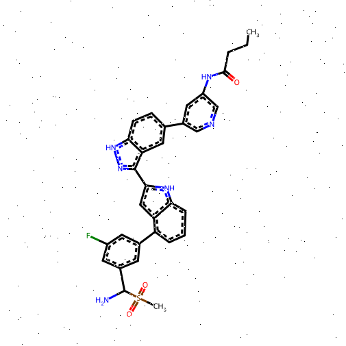 CCCC(=O)Nc1cncc(-c2ccc3[nH]nc(-c4cc5c(-c6cc(F)cc(C(N)S(C)(=O)=O)c6)cccc5[nH]4)c3c2)c1